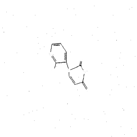 O=c1[c]cn(-c2cccnc2Cl)c(=O)[nH]1